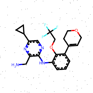 NCc1nc(C2CC2)cnc1Nc1cccc(C2=CCOCC2)c1OCC(F)(F)F